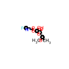 COc1cc([C@@H]2CC(=O)c3c(O)cc(OC(=O)/C=C/c4ccc(F)cn4)cc3O2)ccc1C